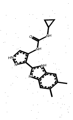 Cc1cc2nc(-c3n[nH]cc3NC(=O)NC3CC3)[nH]c2cc1C